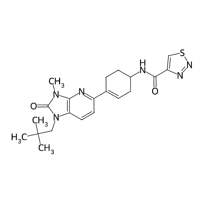 Cn1c(=O)n(CC(C)(C)C)c2ccc(C3=CCC(NC(=O)c4csnn4)CC3)nc21